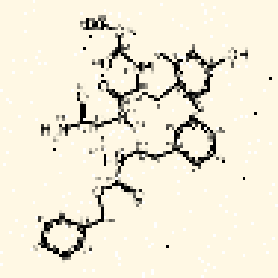 Cc1cc(O)cc(C)c1C[C@H](NC(=O)OC(C)(C)C)C(=O)N(C[C@H](Cc1ccccc1)NC(=O)OCc1ccccc1)[C@H](C)C(N)=O